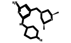 [2H]C1CCC(Nc2cc(CN3C[C@@H](C)O[C@@H](C)C3)cc(N)n2)CC1